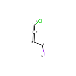 ClC=C=CCI